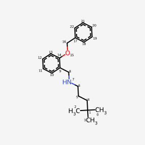 CC(C)(C)[CH]CCNCc1ccccc1OCc1ccccc1